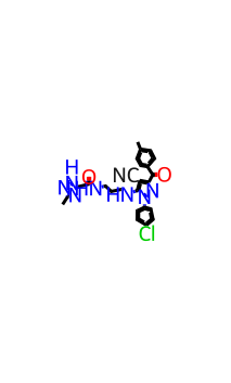 Cc1ccc(C(=O)c2nn(-c3ccc(Cl)cc3)c(NCCCNC(=O)c3nc(C)n[nH]3)c2C#N)cc1